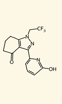 O=C1CCCc2c1c(-c1cccc(O)n1)nn2CC(F)(F)F